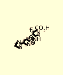 O=C(O)c1ncc(NS(=O)(=O)c2ccc(-c3ncccn3)cn2)cc1F